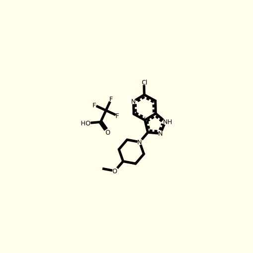 COC1CCN(c2n[nH]c3cc(Cl)ncc23)CC1.O=C(O)C(F)(F)F